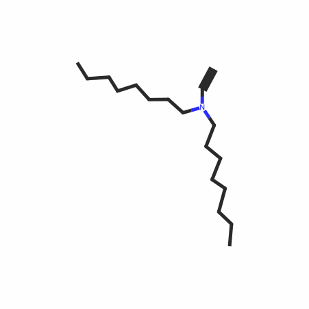 C#CN(CCCCCCCC)CCCCCCCC